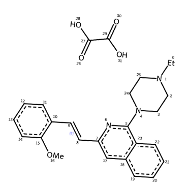 CCN1CCN(c2nc(/C=C/c3ccccc3OC)cc3ccccc23)CC1.O=C(O)C(=O)O